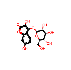 O=c1oc2cc(O)ccc2c(O[C@@H]2O[C@H](CO)[C@@H](O)[C@H](O)[C@@H]2O)c1O